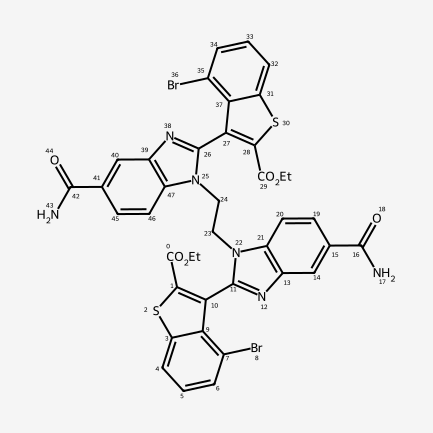 CCOC(=O)c1sc2cccc(Br)c2c1-c1nc2cc(C(N)=O)ccc2n1CCn1c(-c2c(C(=O)OCC)sc3cccc(Br)c23)nc2cc(C(N)=O)ccc21